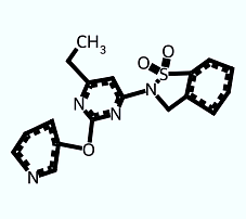 CCc1cc(N2Cc3ccccc3S2(=O)=O)nc(Oc2cccnc2)n1